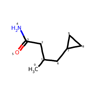 CC(CC(N)=O)CC1CC1